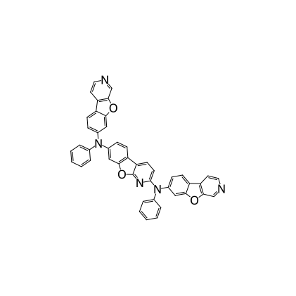 c1ccc(N(c2ccc3c(c2)oc2cnccc23)c2ccc3c(c2)oc2nc(N(c4ccccc4)c4ccc5c(c4)oc4cnccc45)ccc23)cc1